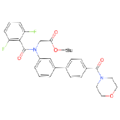 CC(C)(C)OC(=O)CN(C(=O)c1c(F)cccc1F)c1cccc(-c2ccc(C(=O)N3CCOCC3)cc2)c1